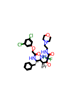 CC(C)[C@H](C(=O)C(F)(F)C(=O)NCCN1CCOCC1)C(N)[C@H](Cc1ccccc1)NC(=O)COc1cc(Cl)cc(Cl)c1